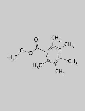 [CH2]OOC(=O)c1c(C)c(C)c(C)c(C)c1C